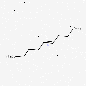 [CH2]CCC(C)CC/C=C/CCCCCCCCCC